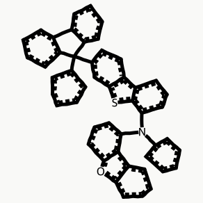 c1ccc(N(c2cccc3c2sc2cc(C4(c5ccccc5)c5ccccc5-c5ccccc54)ccc23)c2cccc3oc4ccccc4c23)cc1